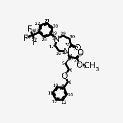 COC(=O)[C@@H](CCOCc1ccccc1)N1CCN(c2cccc(C(F)(F)F)c2)CCC1=O